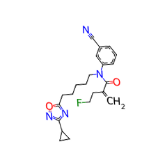 C=C(CCF)C(=O)N(CCCCCc1nc(C2CC2)no1)c1cccc(C#N)c1